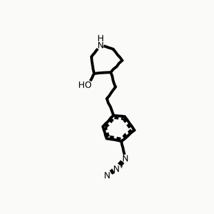 [N-]=[N+]=Nc1ccc(CCC2CCNCC2O)cc1